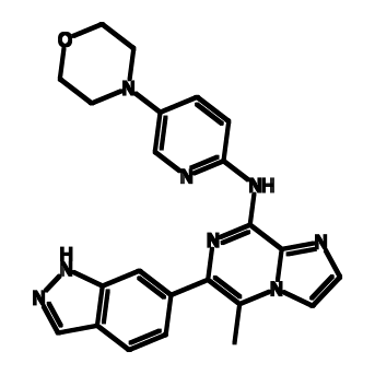 Cc1c(-c2ccc3cn[nH]c3c2)nc(Nc2ccc(N3CCOCC3)cn2)c2nccn12